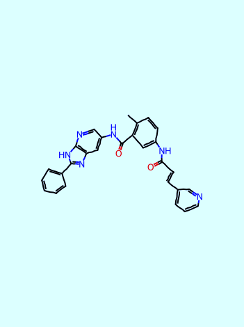 Cc1ccc(NC(=O)C=Cc2cccnc2)cc1C(=O)Nc1cnc2[nH]c(-c3ccccc3)nc2c1